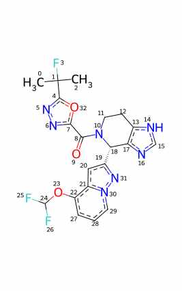 CC(C)(F)c1nnc(C(=O)N2CCc3[nH]cnc3[C@@H]2c2cc3c(OC(F)F)cccn3n2)o1